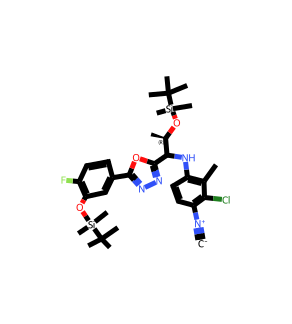 [C-]#[N+]c1ccc(NC(c2nnc(-c3ccc(F)c(O[Si](C)(C)C(C)(C)C)c3)o2)[C@@H](C)O[Si](C)(C)C(C)(C)C)c(C)c1Cl